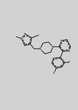 Cc1nn(C)cc1CN1CCN(c2nccnc2-c2ccc(F)cc2F)CC1